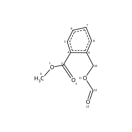 COC(=O)c1ccccc1CO[C]=O